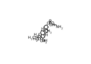 C=C(C)[C@@]1(OC(=O)CC)C(O)C[C@H]2C3CC=C4CC(OP(=O)(O)OCCN)CC[C@]4(C)[C@H]3CC[C@@]21C